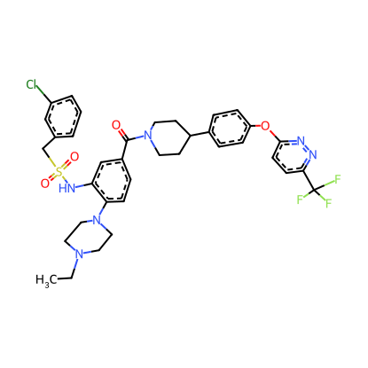 CCN1CCN(c2ccc(C(=O)N3CCC(c4ccc(Oc5ccc(C(F)(F)F)nn5)cc4)CC3)cc2NS(=O)(=O)Cc2cccc(Cl)c2)CC1